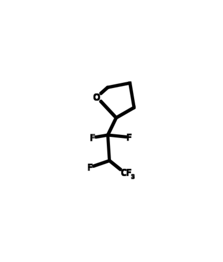 FC(C(F)(F)F)C(F)(F)C1CCCO1